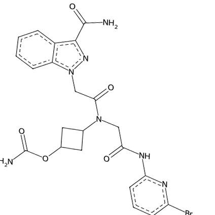 NC(=O)OC1CC(N(CC(=O)Nc2cccc(Br)n2)C(=O)Cn2nc(C(N)=O)c3ccccc32)C1